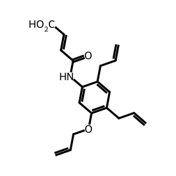 C=CCOc1cc(NC(=O)C=CC(=O)O)c(CC=C)cc1CC=C